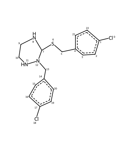 Clc1ccc(CSC2NCCNN2Cc2ccc(Cl)cc2)cc1